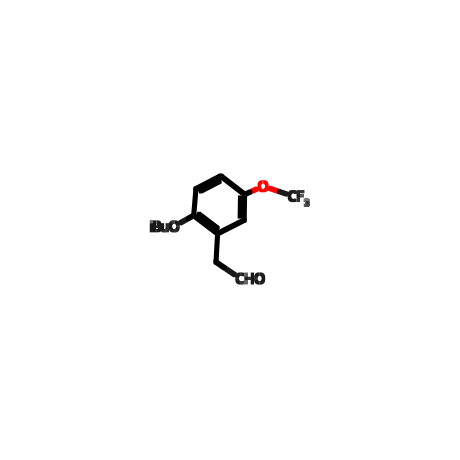 CC(C)COc1ccc(OC(F)(F)F)cc1CC=O